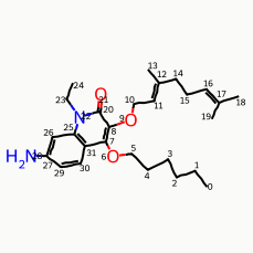 CCCCCCOc1c(OC/C=C(\C)CCC=C(C)C)c(=O)n(CC)c2cc(N)ccc12